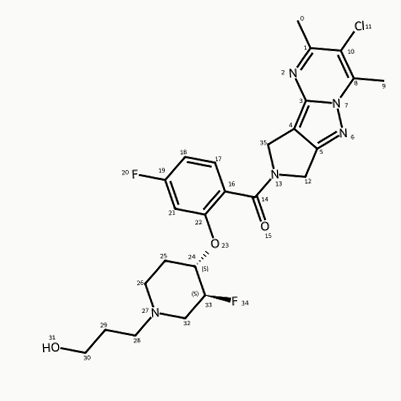 Cc1nc2c3c(nn2c(C)c1Cl)CN(C(=O)c1ccc(F)cc1O[C@H]1CCN(CCCO)C[C@@H]1F)C3